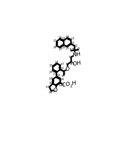 CC(OC[C@@H](O)CNC(C)(C)Cc1ccc2ccccc2c1)c1ccccc1-c1cc2c(c(C(=O)O)c1)OCC2